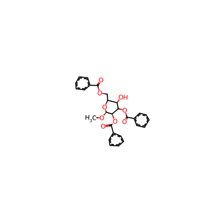 CO[C@H]1OC(COC(=O)c2ccccc2)[C@@H](O)C(OC(=O)c2ccccc2)[C@H]1OC(=O)c1ccccc1